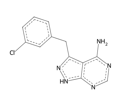 Nc1ncnc2[nH]nc(Cc3cccc(Cl)c3)c12